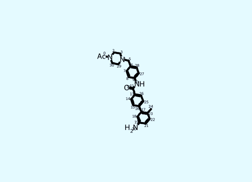 CC(=O)N1CCN(Cc2ccc(NC(=O)c3ccc(-c4cc(N)ccc4C)cc3)cc2)CC1